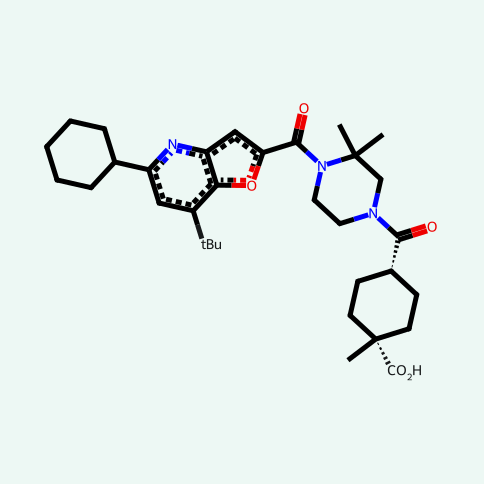 CC(C)(C)c1cc(C2CCCCC2)nc2cc(C(=O)N3CCN(C(=O)[C@H]4CC[C@@](C)(C(=O)O)CC4)CC3(C)C)oc12